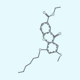 CCCCCCOc1cc(SC)cc2c(=O)c3cc(C(=O)OCC)ccc3oc12